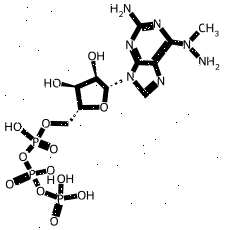 CN(N)c1nc(N)nc2c1ncn2[C@@H]1O[C@H](COP(=O)(O)OP(=O)(O)OP(=O)(O)O)[C@@H](O)[C@H]1O